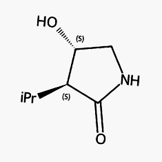 CC(C)[C@@H]1C(=O)NC[C@H]1O